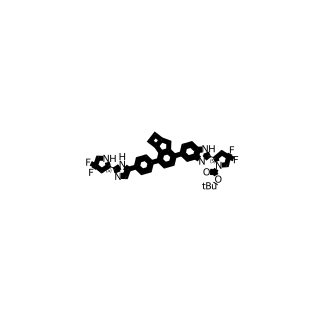 CC(C)(C)OC(=O)N1CC(F)(F)C[C@H]1c1nc2cc(-c3ccc(-c4ccc(-c5cnc([C@@H]6CC(F)(F)CN6)[nH]5)cc4)c4c3CC3CCC43)ccc2[nH]1